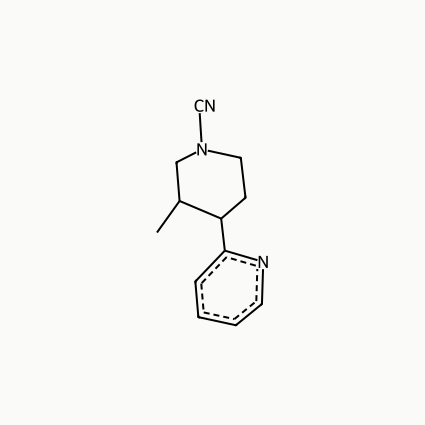 CC1CN(C#N)CCC1c1ccccn1